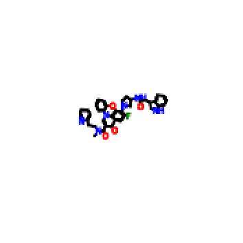 CN(CCc1ccccn1)C(=O)c1cn2c3c(c(N4CCC(NC(=O)CC5CNc6ccccc65)C4)c(F)cc3c1=O)Oc1ccccc1-2